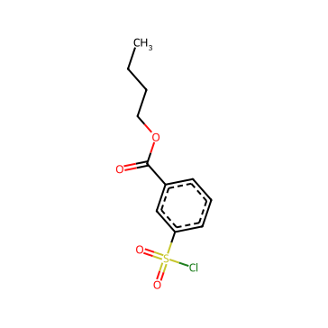 CCCCOC(=O)c1cccc(S(=O)(=O)Cl)c1